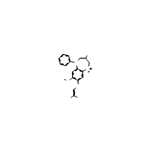 CCCCC1CN(c2ccccc2)c2cc(SCC)c(O/C=C(\F)C(=O)O)cc2S(=O)(=O)C1